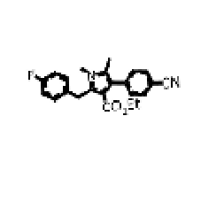 CCOC(=O)c1c(-c2ccc(C#N)cc2)c(C)n(C)c1Cc1ccc(F)cc1